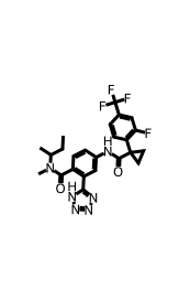 CCC(C)N(C)C(=O)c1ccc(NC(=O)C2(c3ccc(C(F)(F)F)cc3F)CC2)cc1-c1nnn[nH]1